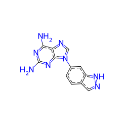 Nc1nc(N)c2ncn(-c3ccc4cn[nH]c4c3)c2n1